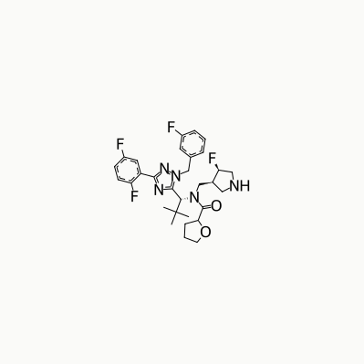 CC(C)(C)[C@H](c1nc(-c2cc(F)ccc2F)nn1Cc1cccc(F)c1)N(C[C@@H]1CNC[C@@H]1F)C(=O)C1CCCO1